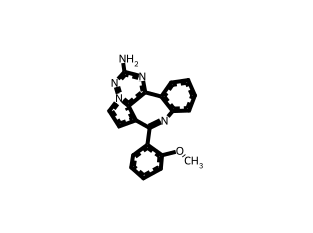 COc1ccccc1C1=Nc2ccccc2-c2nc(N)nn3ccc1c23